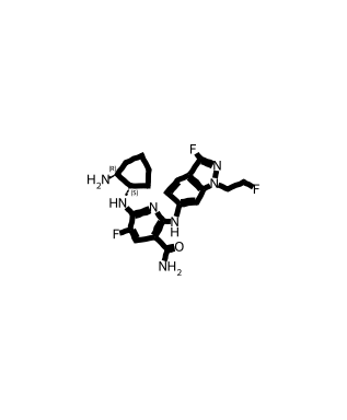 NC(=O)c1cc(F)c(N[C@H]2CCCC[C@H]2N)nc1Nc1ccc2c(F)nn(CCF)c2c1